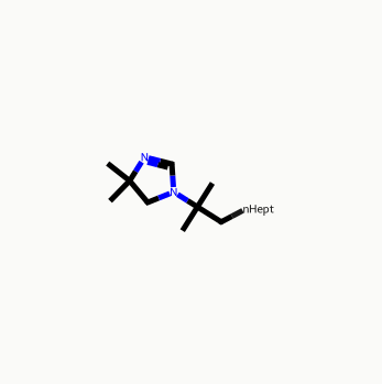 CCCCCCCCC(C)(C)N1C=NC(C)(C)C1